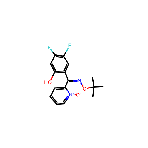 CC(C)(C)ON=C(c1cc(F)c(F)cc1O)c1cccc[n+]1[O-]